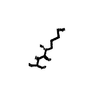 CCCCCCCCCCCC(=O)NC(CC)N=O.N